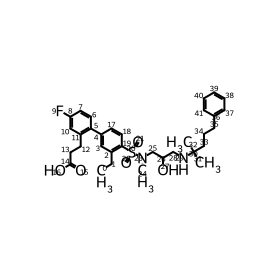 CCc1cc(-c2ccc(F)cc2CCC(=O)O)ccc1S(=O)(=O)N(C)CC(O)CNC(C)(C)CCCc1ccccc1